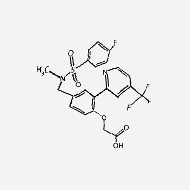 CN(Cc1ccc(OCC(=O)O)c(-c2cc(C(F)(F)F)ccn2)c1)S(=O)(=O)c1ccc(F)cc1